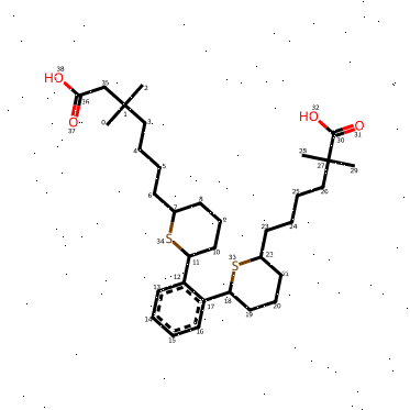 CC(C)(CCCCC1CCCC(c2ccccc2C2CCCC(CCCCC(C)(C)C(=O)O)S2)S1)CC(=O)O